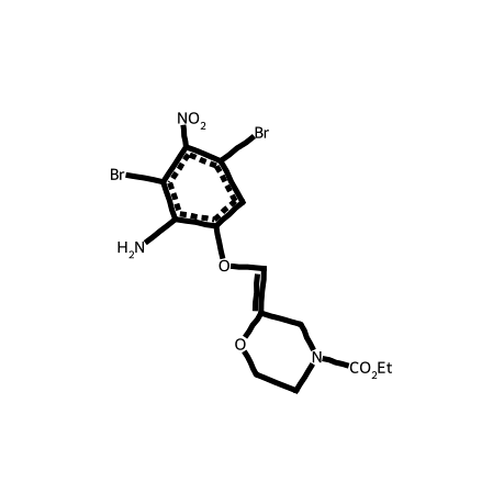 CCOC(=O)N1CCO/C(=C\Oc2cc(Br)c([N+](=O)[O-])c(Br)c2N)C1